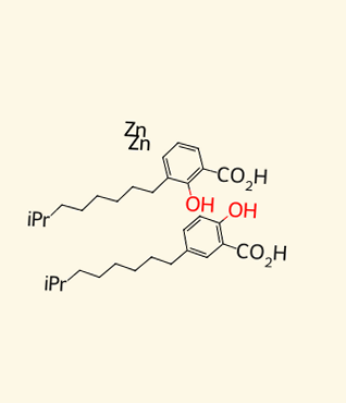 CC(C)CCCCCCc1ccc(O)c(C(=O)O)c1.CC(C)CCCCCCc1cccc(C(=O)O)c1O.[Zn].[Zn]